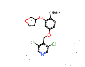 COc1ccc(OCc2c(Cl)cncc2Cl)cc1OC1CCOC1